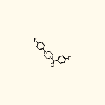 O=C(c1ccc(F)cc1)N1CCN(c2ccc(F)cc2)CC1